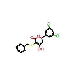 O=C1OC(c2cc(Cl)cc(Cl)c2)CC(O)=C1SCc1ccccc1